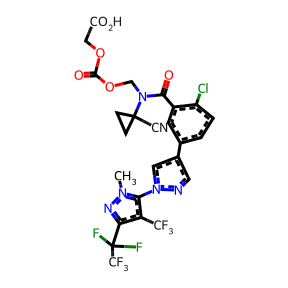 Cn1nc(C(F)(F)C(F)(F)F)c(C(F)(F)F)c1-n1cc(-c2ccc(Cl)c(C(=O)N(COC(=O)OCC(=O)O)C3(C#N)CC3)c2)cn1